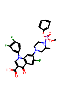 COP(=O)(Oc1ccccc1)N1CCN(c2cc3c(cc2F)c(=O)c(C(=O)O)cn3-c2ccc(F)c(F)c2)CC1C